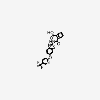 O=C(O)C1C2C=CC(C2)C1C(=O)Nc1nc2ccc(Oc3ccc(C(F)(F)F)cn3)cc2s1